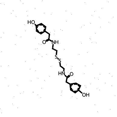 O=C(Cc1ccc(O)cc1)NCCSSCCNC(=O)Cc1ccc(O)cc1